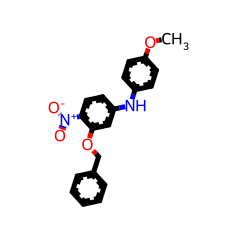 COc1ccc(Nc2ccc([N+](=O)[O-])c(OCc3ccccc3)c2)cc1